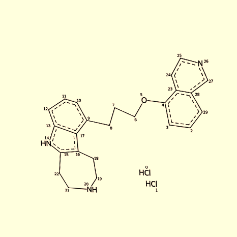 Cl.Cl.c1cc(OCCCc2cccc3[nH]c4c(c23)CCNCC4)c2ccncc2c1